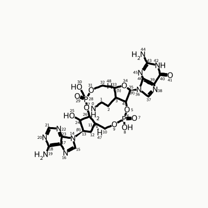 NCCC1C2OP(=O)(O)OC[C@H]3C[C@@H](n4cnc5c(N)ncnc54)C(O)C3OP(=O)(O)OC[C@H]1O[C@H]2n1cnc2c(=O)[nH]c(N)nc21